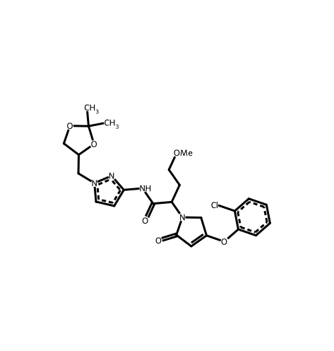 COCCC(C(=O)Nc1ccn(CC2COC(C)(C)O2)n1)N1CC(Oc2ccccc2Cl)=CC1=O